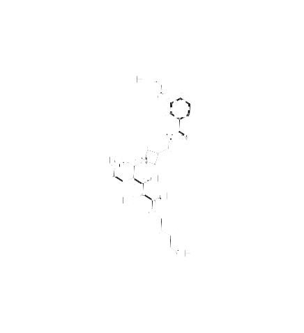 C\C=C/C(=C(C)\C(C)=C(/C)OCCCCO)C(C)N1CC(CNC(=O)c2cccc(OCC)c2)C1